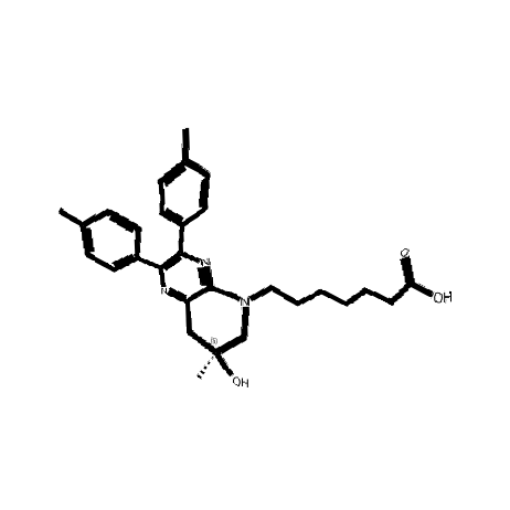 Cc1ccc(-c2nc3c(nc2-c2ccc(C)cc2)N(CCCCCCC(=O)O)C[C@@](C)(O)C3)cc1